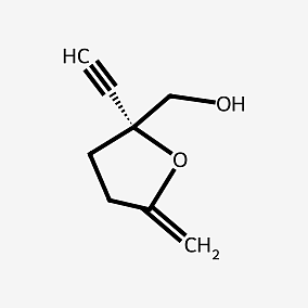 C#C[C@@]1(CO)CCC(=C)O1